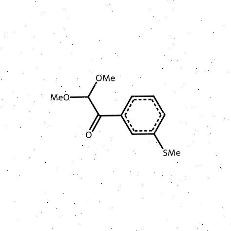 COC(OC)C(=O)c1cccc(SC)c1